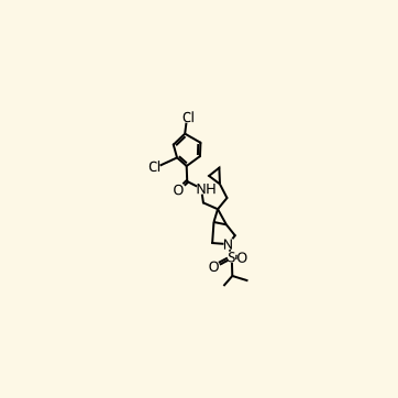 CC(C)S(=O)(=O)N1CC2C(C1)C2(CNC(=O)c1ccc(Cl)cc1Cl)CC1CC1